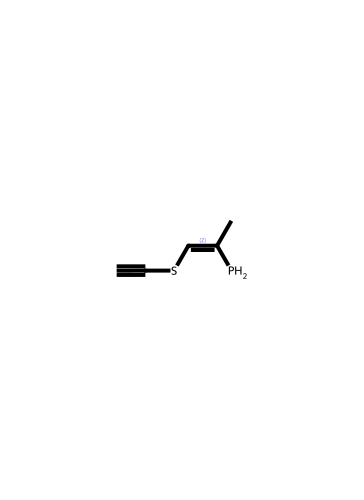 C#CS/C=C(/C)P